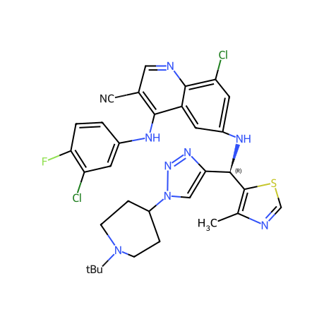 Cc1ncsc1[C@H](Nc1cc(Cl)c2ncc(C#N)c(Nc3ccc(F)c(Cl)c3)c2c1)c1cn(C2CCN(C(C)(C)C)CC2)nn1